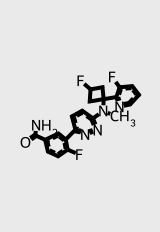 CN(c1ccc(-c2cc(C(N)=O)ccc2F)nn1)C1(c2ncccc2F)CC(F)C1